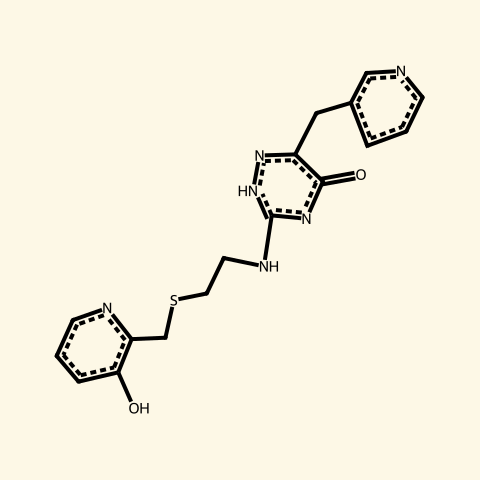 O=c1nc(NCCSCc2ncccc2O)[nH]nc1Cc1cccnc1